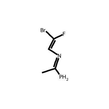 C/C(P)=N\C=C(/F)Br